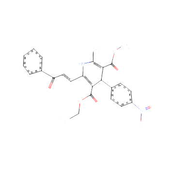 CCOC(=O)C1=C(C=CC(=O)c2ccccc2)NC(C)=C(C(=O)OC)C1c1ccc([N+](=O)[O-])cc1